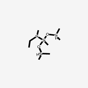 CCN(C)[Si](C)(O[SiH](C)C)O[SiH](C)C